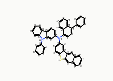 c1ccc(-c2ccc(N(c3ccc4sc5cc6ccccc6cc5c4c3)c3ccc4c5ccccc5n(-c5ccccc5)c4c3)c3ccccc23)cc1